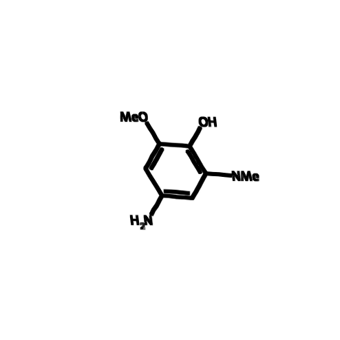 CNc1cc(N)cc(OC)c1O